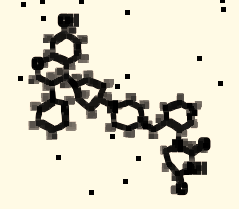 O=C1CCN(c2cnccc2CN2CCN(c3ccc([C@@H]4c5ccc(O)cc5OC[C@@H]4c4ccccc4)cc3)CC2)C(=O)N1